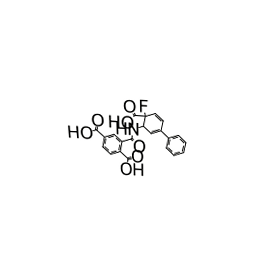 O=C(O)c1ccc(C(=O)O)c(C(=O)NC2C=C(c3ccccc3)C=CC2(F)C(=O)O)c1